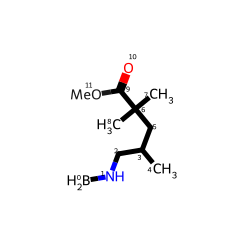 BNCC(C)CC(C)(C)C(=O)OC